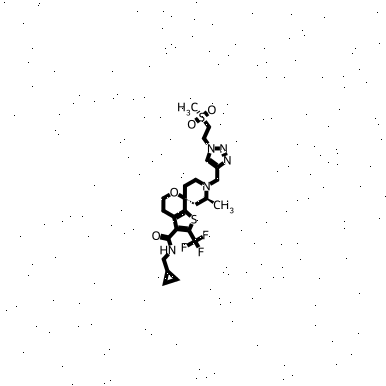 C[C@H]1C[C@@]2(CCN1Cc1cn(CCS(C)(=O)=O)nn1)OCCc1c2sc(C(F)(F)F)c1C(=O)NCC1CC1